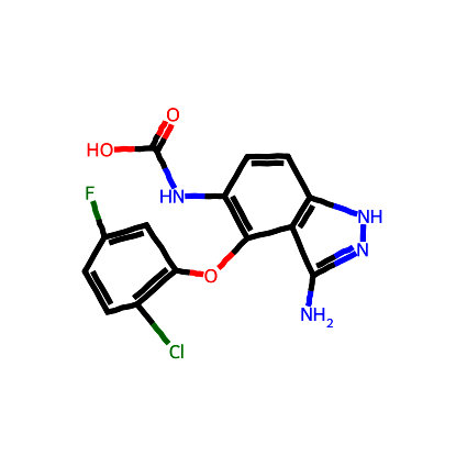 Nc1n[nH]c2ccc(NC(=O)O)c(Oc3cc(F)ccc3Cl)c12